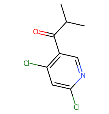 CC(C)C(=O)c1cnc(Cl)cc1Cl